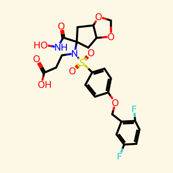 O=C(O)CCN(C1(C(=O)NO)CC2OCOC2C1)S(=O)(=O)c1ccc(OCc2cc(F)ccc2F)cc1